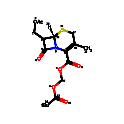 CC(=O)OCC1C(=O)N2C(C(=O)OCOC(=O)C(C)(C)C)=C(C)CS[C@H]12